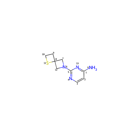 Nc1ccnc(N2CC3(CCS3)C2)n1